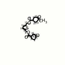 CC12CCC(C(=O)OCc3ccc(COC(=O)C4CCC5(C)OC5C4)s3)CC1O2